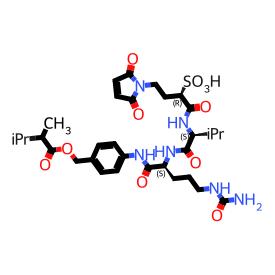 CC(C)C(C)C(=O)OCc1ccc(NC(=O)[C@H](CCCNC(N)=O)NC(=O)[C@@H](NC(=O)[C@@H](CCN2C(=O)C=CC2=O)S(=O)(=O)O)C(C)C)cc1